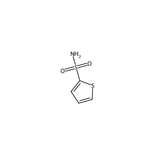 NS(=O)(=O)c1cccs1